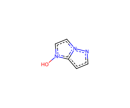 On1ccn2nccc12